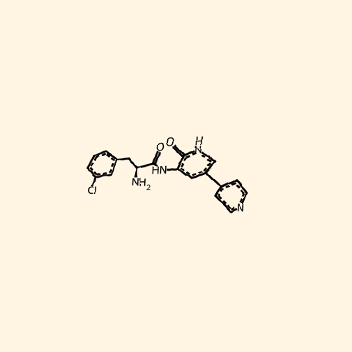 N[C@@H](Cc1cccc(Cl)c1)C(=O)Nc1cc(-c2ccncc2)c[nH]c1=O